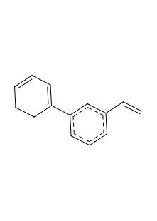 C=Cc1cccc(C2=CC=CCC2)c1